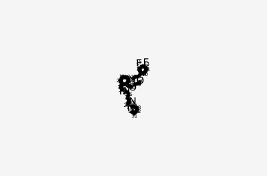 O=c1c2c(N3CCOC(c4ccc(F)c(F)c4)C3)cccc2cnn1CCc1cn2ccccc2n1